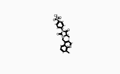 Cc1cccc2c(CN3C(=O)N(c4ccc(S(=O)(=O)C(F)(F)F)cc4)C(=O)C3C)ccnc12